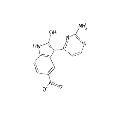 Nc1nccc(-c2c(O)[nH]c3ccc([N+](=O)[O-])cc23)n1